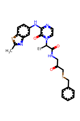 CCC(C(=O)NCC(=O)CSCc1ccccc1)n1ccnc(Nc2ccc3sc(C)nc3c2)c1=O